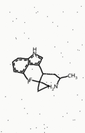 CC(N)CC(c1c[nH]c2cccc(F)c12)C1(F)CC1